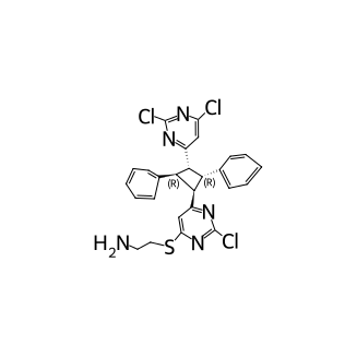 NCCSc1cc([C@H]2[C@@H](c3ccccc3)[C@H](c3cc(Cl)nc(Cl)n3)[C@@H]2c2ccccc2)nc(Cl)n1